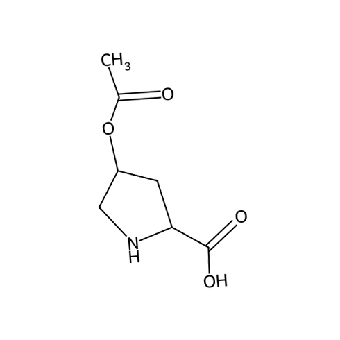 CC(=O)OC1CNC(C(=O)O)C1